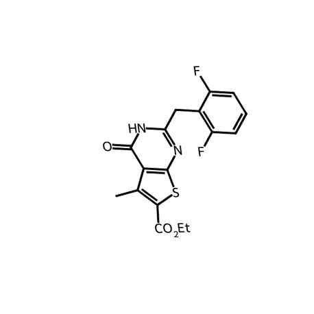 CCOC(=O)c1sc2nc(Cc3c(F)cccc3F)[nH]c(=O)c2c1C